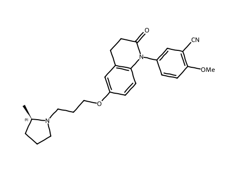 COc1ccc(N2C(=O)CCc3cc(OCCCN4CCC[C@H]4C)ccc32)cc1C#N